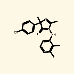 CC1=NC(C)(c2ccc(Cl)cc2)C(=O)N1Nc1cccc(C)c1C